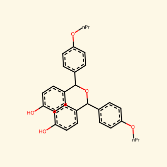 CCCOc1ccc(C(OC(c2ccc(O)cc2)c2ccc(OCCC)cc2)c2ccc(O)cc2)cc1